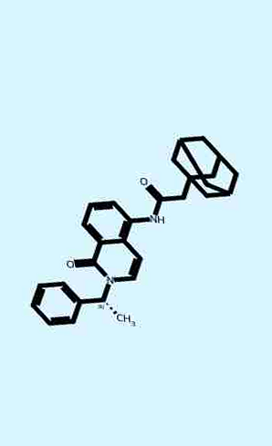 C[C@H](c1ccccc1)n1ccc2c(NC(=O)CC34CC5CC(CC(C5)C3)C4)cccc2c1=O